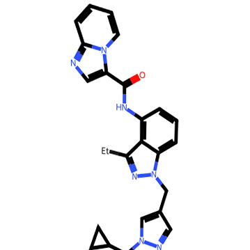 CCc1nn(Cc2cnn(CC3CC3)c2)c2cccc(NC(=O)c3cnc4ccccn34)c12